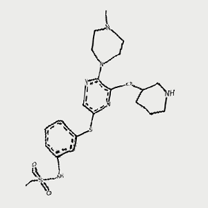 CN1CCN(c2ncc(Sc3cccc(NS(C)(=O)=O)c3)nc2OC2CCCNC2)CC1